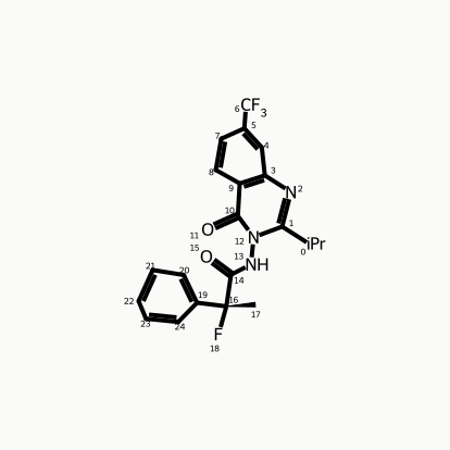 CC(C)c1nc2cc(C(F)(F)F)ccc2c(=O)n1NC(=O)[C@](C)(F)c1ccccc1